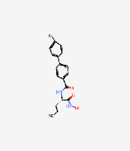 CCc1ccc(-c2ccc(C(=O)N[C@@H](CCC#N)C(=O)NO)cc2)cc1